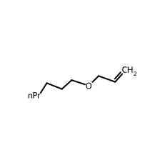 [CH2]CCCCCOCC=C